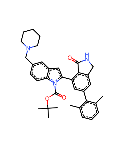 Cc1cccc(C)c1-c1cc2c(c(-c3cc4cc(CN5CCCCC5)ccc4n3C(=O)OC(C)(C)C)c1)C(=O)NC2